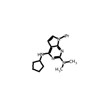 CC(C)n1ccc2c(NC3CCCC3)nc(N(C)C)nc21